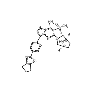 CS(=O)(=O)c1c([C@H]2C[C@H]3CC[C@@H](C2)N3)nc2c(-c3ccc(-c4nc5c(s4)CCC5)nc3)cnn2c1N